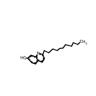 CCCCCCCCCCCc1ccc2ccc(O)cc2n1